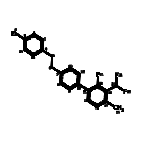 CCc1ccc(CCc2ccc(-c3ccc(C)c(C(F)F)c3F)cc2)cc1